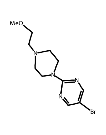 COCCN1CCN(c2ncc(Br)cn2)CC1